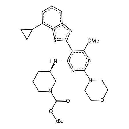 COc1nc(N2CCOCC2)nc(N[C@@H]2CCCN(C(=O)OC(C)(C)C)C2)c1-c1nc2cccc(C3CC3)c2s1